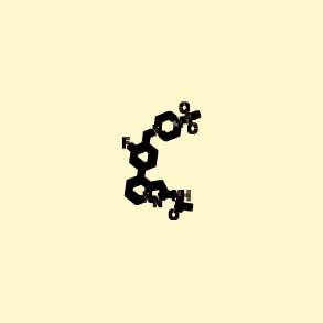 CC(=O)Nc1cc2c(-c3ccc(CN4CCN(S(C)(=O)=O)CC4)c(F)c3)cccn2n1